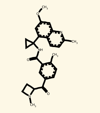 COc1cc(C2(NC(=O)c3cc(C(=O)C4CCN4C)ccc3C)CC2)c2ccc(C)nc2c1